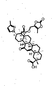 Cc1ccn([C@H]2CC[C@]3(C)[C@H]4C(=O)C=C5[C@@H]6C[C@@](C)(C(=O)O)CC[C@]6(C)CC[C@@]5(C)[C@]4(C)CC[C@@]3(NOCc3oc(=O)oc3C)[C@]2(C)C=O)n1